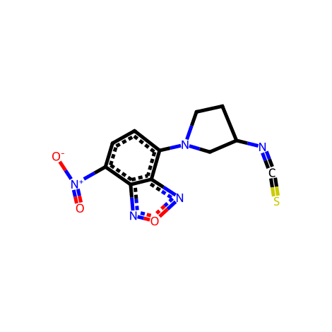 O=[N+]([O-])c1ccc(N2CCC(N=C=S)C2)c2nonc12